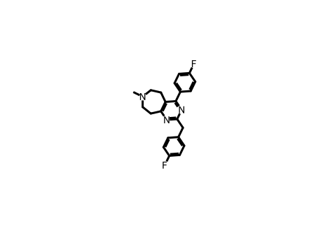 CN1CCc2nc(Cc3ccc(F)cc3)nc(-c3ccc(F)cc3)c2CC1